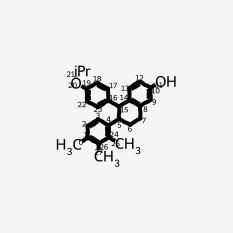 Cc1ccc(C2CCc3cc(O)ccc3C2c2ccc(OC(C)C)cc2)c(C)c1C